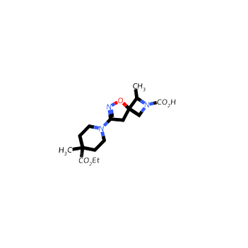 CCOC(=O)C1(C)CCN(C2=NOC3(C2)CN(C(=O)O)C3C)CC1